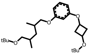 CC(COc1cccc(OC2CC(OC(C)(C)C)C2)c1)CC(C)COC(C)(C)C